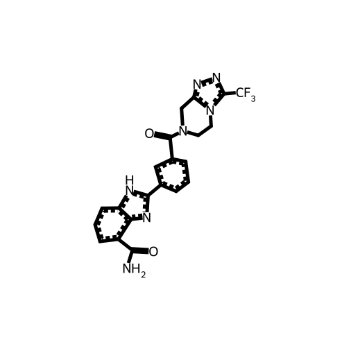 NC(=O)c1cccc2[nH]c(-c3cccc(C(=O)N4CCn5c(nnc5C(F)(F)F)C4)c3)nc12